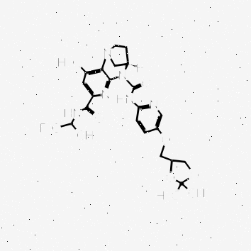 Cc1cc(C(=O)NC(C)C(F)(F)F)nc2c1N1CC[C@@H](C1)N2C(=O)Nc1ccc(OCC2COC(C)(C)O2)cn1